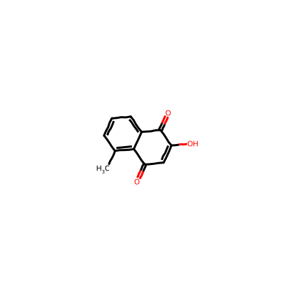 Cc1cccc2c1C(=O)C=C(O)C2=O